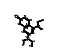 CCC(C)c1cc(N(CC)CC)cc2c1C=CC(=O)C2